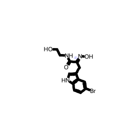 O=C(NCCO)/C(Cc1c[nH]c2ccc(Br)cc12)=N/O